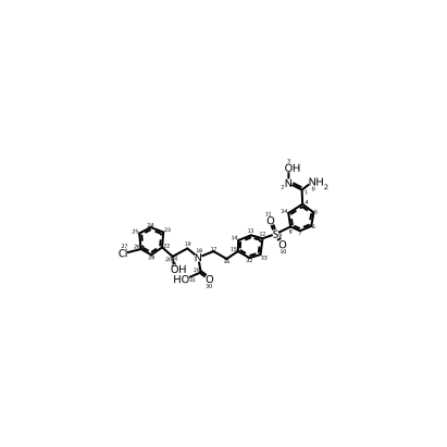 NC(=NO)c1cccc(S(=O)(=O)c2ccc(CCN(C[C@@H](O)c3cccc(Cl)c3)C(=O)O)cc2)c1